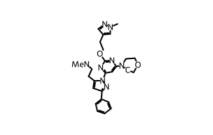 CNCCc1cc(-c2ccccc2)nn1-c1cc(N2CCOCC2)nc(OCCc2cnn(C)c2)n1